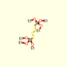 CCO[Si](OCC)(OCC)SSSS[Si](OCC)(OCC)OCC